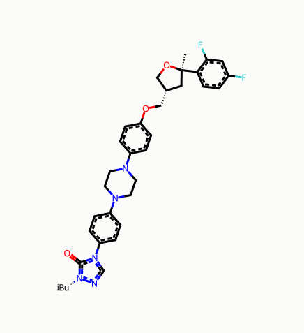 CC[C@@H](C)n1ncn(-c2ccc(N3CCN(c4ccc(OC[C@@H]5CO[C@@](C)(c6ccc(F)cc6F)C5)cc4)CC3)cc2)c1=O